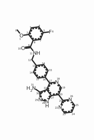 COc1ccc(F)cc1C(=O)NCc1ccc(-c2ncc(-c3ncccn3)c3[nH]nc(N)c23)cc1